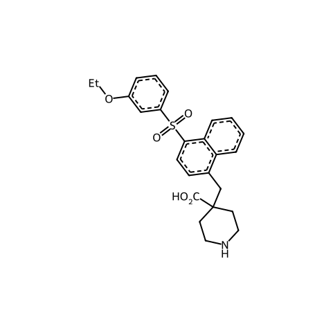 CCOc1cccc(S(=O)(=O)c2ccc(CC3(C(=O)O)CCNCC3)c3ccccc23)c1